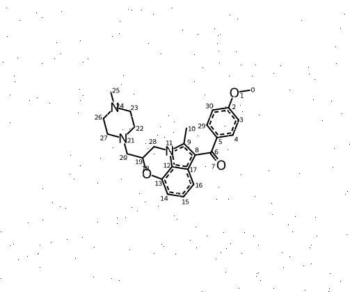 COc1ccc(C(=O)c2c(C)n3c4c(cccc24)OC(CN2CCN(C)CC2)C3)cc1